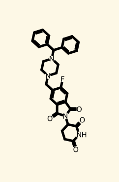 O=C1CCC(N2C(=O)c3cc(F)c(CN4CCN(C(c5ccccc5)c5ccccc5)CC4)cc3C2=O)C(=O)N1